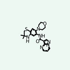 CC1(C)CSc2cc(N3CCOCC3)c(NC(=O)c3cnn4cccnc34)cc2N1